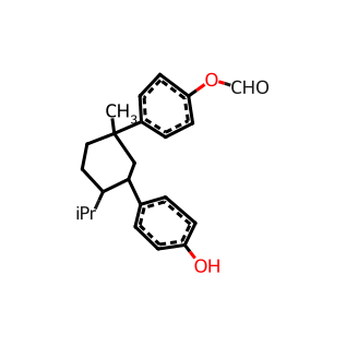 CC(C)C1CCC(C)(c2ccc(OC=O)cc2)CC1c1ccc(O)cc1